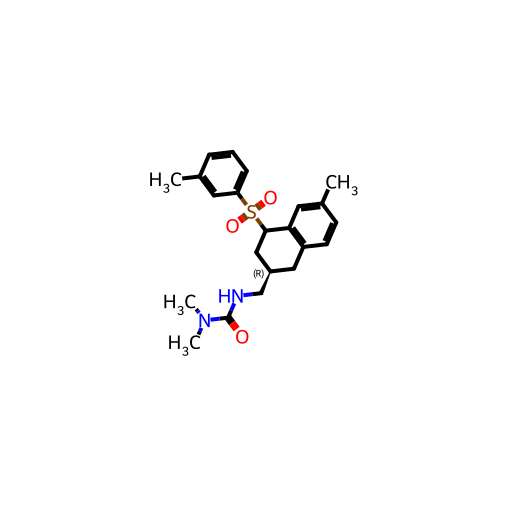 Cc1cccc(S(=O)(=O)C2C[C@H](CNC(=O)N(C)C)Cc3ccc(C)cc32)c1